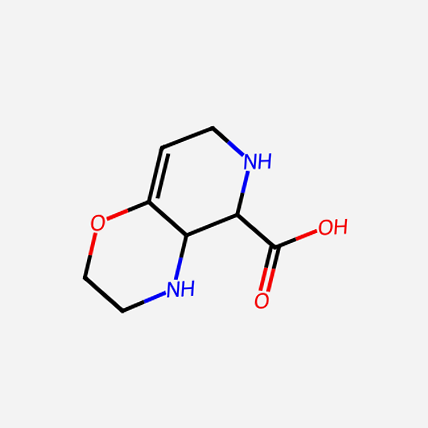 O=C(O)C1NCC=C2OCCNC21